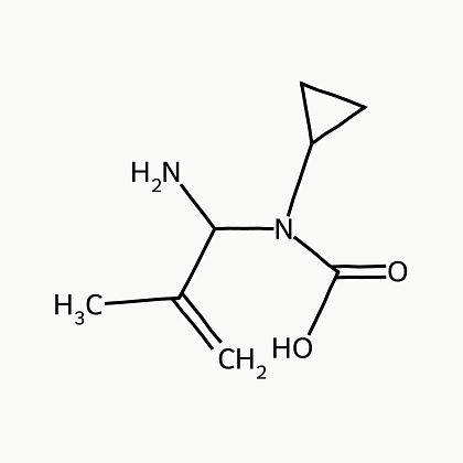 C=C(C)C(N)N(C(=O)O)C1CC1